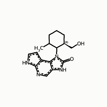 CC1CCC[C@@H](CO)C1n1c(=O)[nH]c2cnc3[nH]ccc3c21